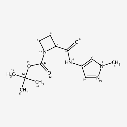 Cn1cc(NC(=O)C2CCN2C(=O)OC(C)(C)C)cn1